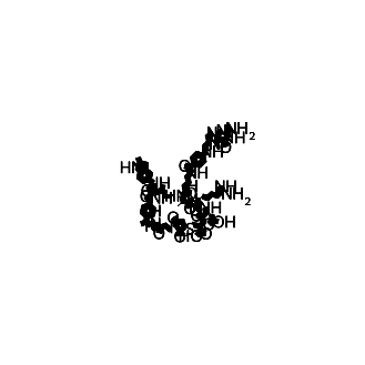 CC(=NNC(=O)CCN1C(=O)CC(SCC(CC(=O)[C@@H](CC(=O)O)NC(=O)[C@@H](CCCCC(=N)N)NC(=O)[C@H](C)NC(=O)CCCNC(=O)c2ccc(NCc3cnc4nc(N)[nH]c(=O)c4n3)cc2)C(=O)O)C1=O)c1ccc(C(=O)N[C@H](C(=O)Nc2ccc3[nH]c(C)cc3c2)C(C)C)cc1